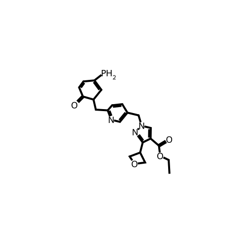 CCOC(=O)c1cn(Cc2ccc(CC3C=C(P)C=CC3=O)nc2)nc1C1COC1